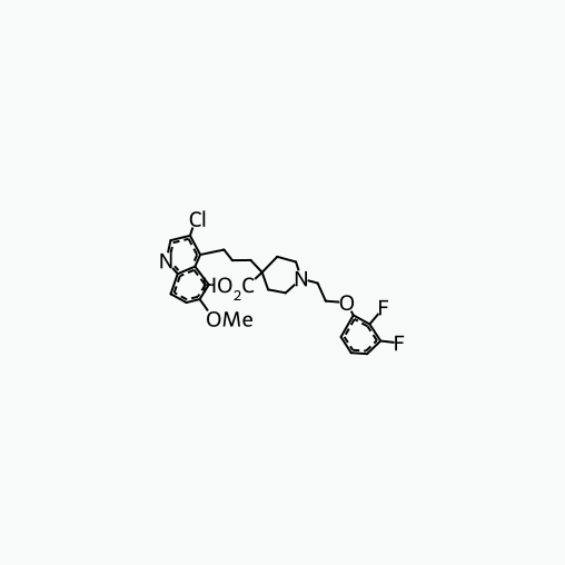 COc1ccc2ncc(Cl)c(CCCC3(C(=O)O)CCN(CCOc4cccc(F)c4F)CC3)c2c1